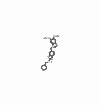 COc1cc2ncn(Cc3ccc4nc(NCC5CCCCC5)sc4c3)c2cc1OC